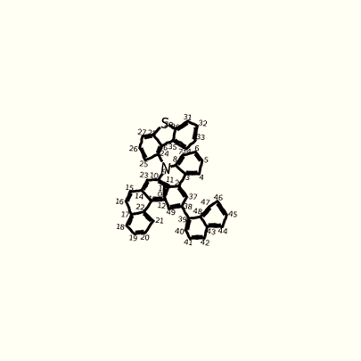 c1cc(-c2ccccc2N(c2ccc3c(ccc4ccccc43)c2)c2cccc3sc4ccccc4c23)cc(-c2cccc3ccccc23)c1